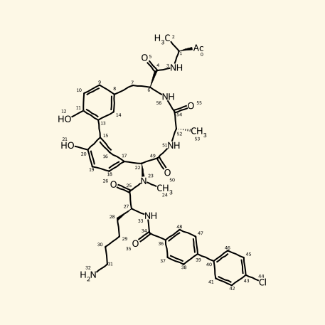 CC(=O)[C@H](C)NC(=O)[C@@H]1Cc2ccc(O)c(c2)-c2cc(ccc2O)[C@H](N(C)C(=O)[C@H](CCCCN)NC(=O)c2ccc(-c3ccc(Cl)cc3)cc2)C(=O)N[C@@H](C)C(=O)N1